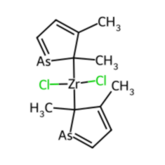 CC1=CC=[As][C]1(C)[Zr]([Cl])([Cl])[C]1(C)[As]=CC=C1C